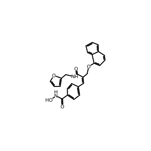 O=C(NCc1ccco1)C(=Cc1ccc(C(=O)NO)cc1)COc1cccc2ccccc12